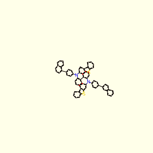 c1ccc(N(c2ccc(-c3ccc4ccccc4c3)cc2)c2ccc3c(c2)sc2ccccc23)c(-c2ccccc2N(c2ccc(-c3cccc4ccccc34)cc2)c2ccc3c(c2)sc2ccccc23)c1